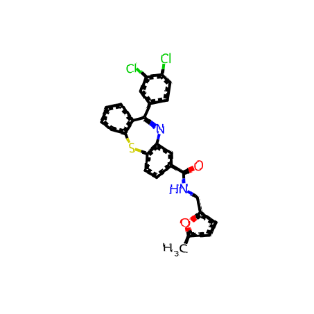 Cc1ccc(CNC(=O)c2ccc3c(c2)N=C(c2ccc(Cl)c(Cl)c2)c2ccccc2S3)o1